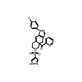 O=C(c1ccccn1)C12Cc3cnn(-c4ccc(F)cc4)c3C=C1CCN(S(=O)(=O)c1cn[nH]c1)C2